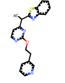 N#CC(c1ccnc(OCCc2cccnc2)n1)c1nc2ccccc2s1